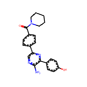 Nc1ncc(-c2ccc(C(=O)N3CCCCC3)cc2)nc1-c1ccc(O)cc1